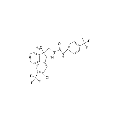 CC1(c2ccccc2)CN(C(=O)Nc2ccc(C(F)(F)F)cc2)N=C1c1ccc(C(F)(F)F)c(Cl)c1